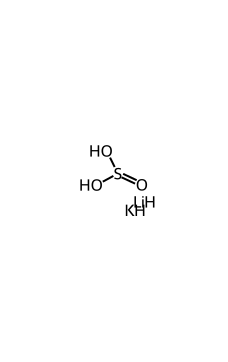 O=S(O)O.[KH].[LiH]